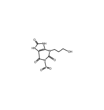 O=c1[nH]c2c(=O)n(P(=O)=O)c(=O)n(CCCO)c2[nH]1